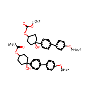 CCCCCCCCOC(=O)OC1CCC(O)(c2ccc(-c3ccc(OCCCCCCC)cc3)cc2)CC1.CCCCCCOc1ccc(-c2ccc(C3(O)CCC(OC(=O)OC)CC3)cc2)cc1